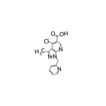 Cc1nn(Cc2ccccn2)c2ncc(C(=O)O)c(Cl)c12